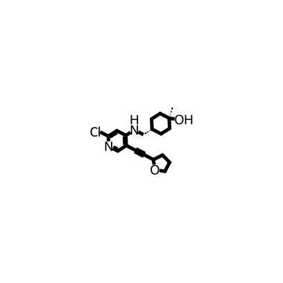 C[C@]1(O)CC[C@H](CNc2cc(Cl)ncc2C#CC2CCCO2)CC1